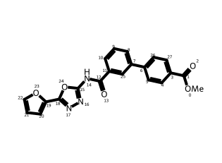 COC(=O)c1ccc(-c2cccc(C(=O)Nc3nnc(-c4ccco4)o3)c2)cc1